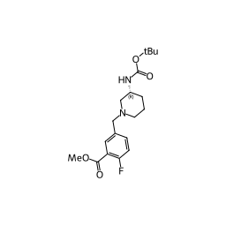 COC(=O)c1cc(CN2CCC[C@@H](NC(=O)OC(C)(C)C)C2)ccc1F